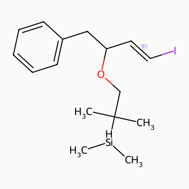 C[SiH](C)C(C)(C)COC(/C=C/I)Cc1ccccc1